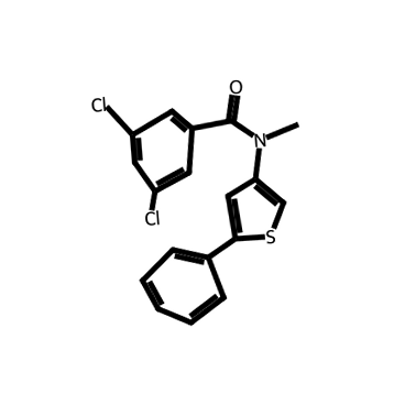 CN(C(=O)c1cc(Cl)cc(Cl)c1)c1csc(-c2ccccc2)c1